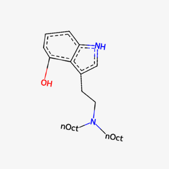 CCCCCCCCN(CCCCCCCC)CCc1c[nH]c2cccc(O)c12